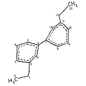 CCc1cccc(-c2cccc(CC)c2)c1